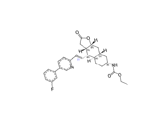 CCOC(=O)N[C@@H]1CC[C@@H]2[C@@H](C1)C[C@H]1OC(=O)C[C@H]1[C@H]2/C=C/c1ccc(-c2cccc(F)c2)cn1